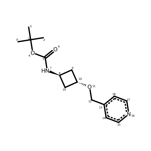 CC(C)(C)OC(=O)N[C@H]1C[C@H](OCc2ccncc2)C1